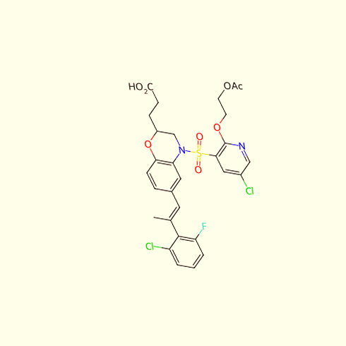 CC(=O)OCCOc1ncc(Cl)cc1S(=O)(=O)N1CC(CCC(=O)O)Oc2ccc(C=C(C)c3c(F)cccc3Cl)cc21